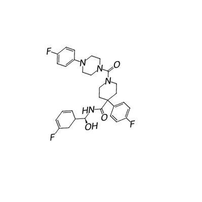 O=C(N1CCN(c2ccc(F)cc2)CC1)N1CCC(C(=O)N[C@@H](O)C2C=CC=C(F)C2)(c2ccc(F)cc2)CC1